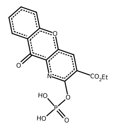 CCOC(=O)c1cc2oc3ccccc3c(=O)c2nc1OP(=O)(O)O